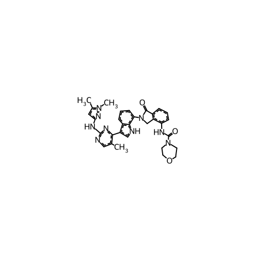 Cc1cnc(Nc2cc(C)n(C)n2)nc1-c1c[nH]c2c(N3Cc4c(NC(=O)N5CCOCC5)cccc4C3=O)cccc12